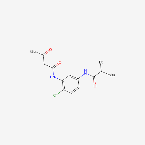 CCCCC(CC)C(=O)Nc1ccc(Cl)c(NC(=O)CC(=O)C(C)(C)C)c1